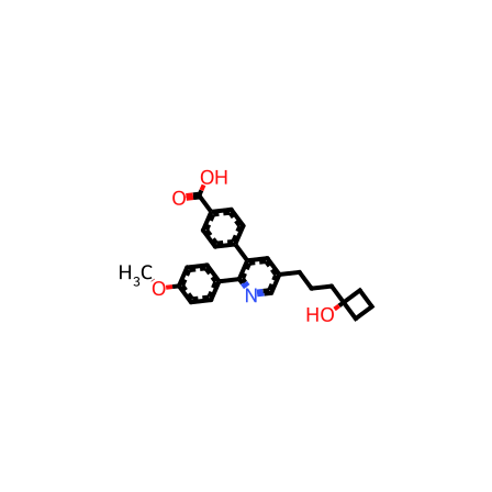 COc1ccc(-c2ncc(CCCC3(O)CCC3)cc2-c2ccc(C(=O)O)cc2)cc1